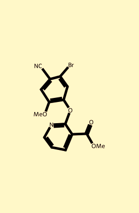 COC(=O)c1cccnc1Oc1cc(Br)c(C#N)cc1OC